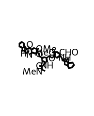 CNC(C)C(=O)Nc1cc(COc2cc3c(cc2OC)C(=O)N2c4ccccc4C[C@H]2C=N3)cc(COc2cc(NCC3Cc4ccccc4N3C)c(C=O)cc2OC)c1